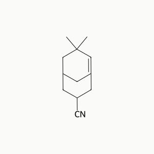 CC1(C)C=C2CC(C#N)CC(C2)C1